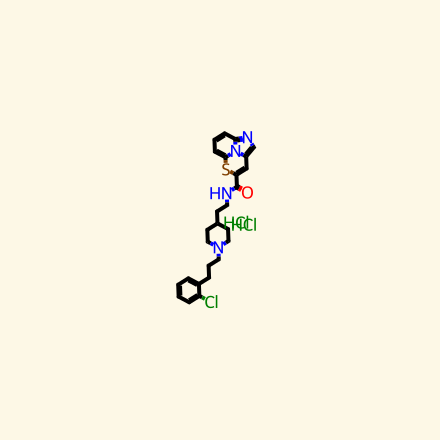 Cl.Cl.O=C(NCCC1CCN(CCCc2ccccc2Cl)CC1)C1=Cc2cnc3cccc(n23)S1